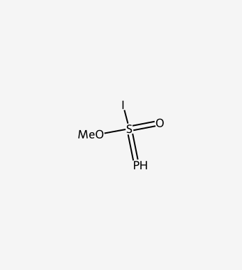 COS(=O)(=P)I